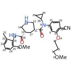 COCCCOc1cc(N(C(=O)[C@H]2CNC[C@@H](C(=O)Nc3c(C)cccc3OC)C2)C2CC2)ccc1C#N